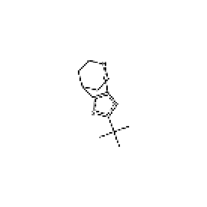 CC(C)(C)c1cc2c(s1)C1CCN(CC1)C2